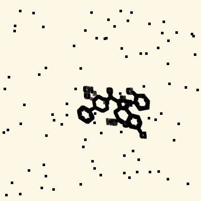 CO[C@@H]1CN(C(=O)c2nn(-c3ccccc3Cl)c(-c3ccc(Cl)cc3)c2CC(=O)O)CC[C@H]1c1ccccc1